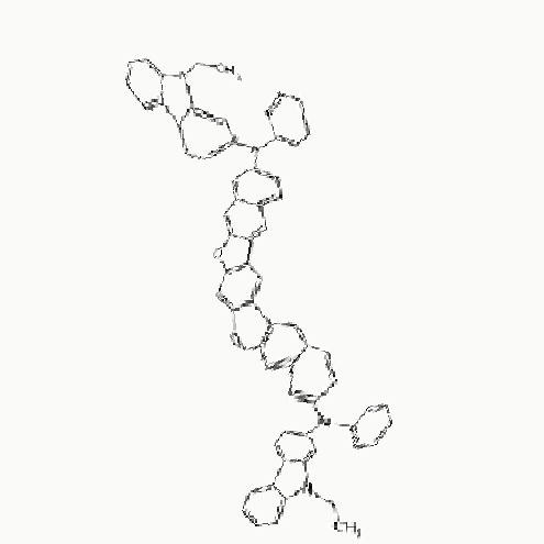 CCn1c2ccccc2c2ccc(N(c3ccccc3)c3ccc4cc5c(cc4c3)oc3cc4oc6cc7cc(N(c8ccccc8)c8ccc9c%10ccccc%10n(CC)c9c8)ccc7cc6c4cc35)cc21